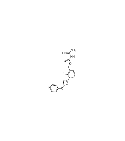 N=C(N)NC(=O)OCc1cccc(N2CC(Oc3ccncc3)C2)c1F